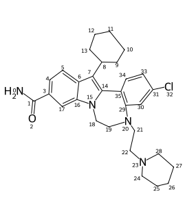 NC(=O)c1ccc2c(C3CCCCC3)c3n(c2c1)CCN(CCN1CCCCC1)c1cc(Cl)ccc1-3